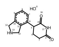 Cl.O=C1CCC(c2cccc3c2CNC3)C(=O)N1